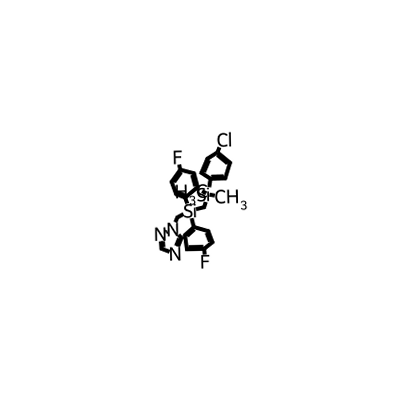 C[Si](C)(C[Si](Cn1cncn1)(c1ccc(F)cc1)c1ccc(F)cc1)c1ccc(Cl)cc1